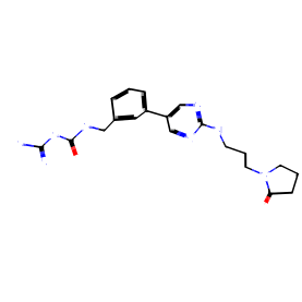 N=C(N)NC(=O)NCc1cccc(-c2cnc(NCCCN3CCCC3=O)nc2)c1